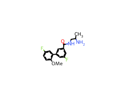 COc1ccc(F)cc1-c1cc(F)cc(C(=O)NCC(C)N)c1